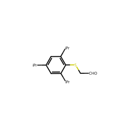 CC(C)c1cc(C(C)C)c(SCC=O)c(C(C)C)c1